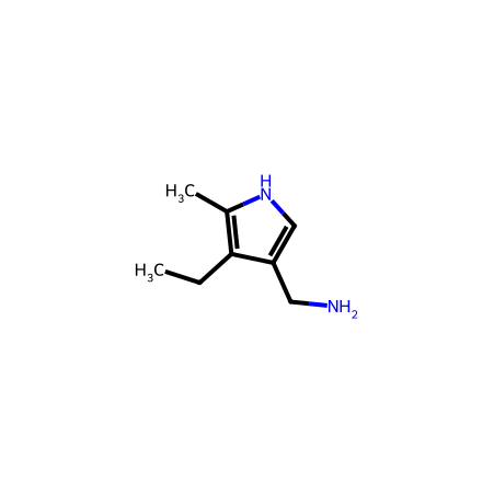 CCc1c(CN)c[nH]c1C